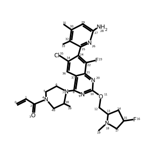 C=CC(=O)N1CCN(c2nc(OCC3CC(F)CN3C)nc3c(F)c(-c4nc(N)cc(C)c4C)c(Cl)cc23)C(C)C1